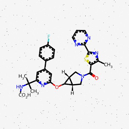 Cc1nc(-c2ncccn2)sc1C(=O)N1C[C@@H]2C(Oc3cc(-c4ccc(F)cc4)cc(C(C)(C)NC(=O)O)n3)[C@@H]2C1